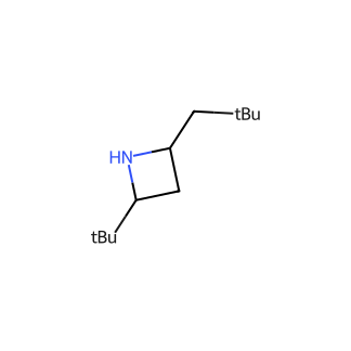 CC(C)(C)CC1CC(C(C)(C)C)N1